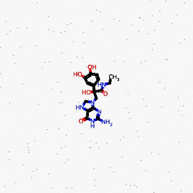 CCNC(=O)C(O)(CN1CNc2c1nc(N)[nH]c2=O)c1ccc(O)c(O)c1